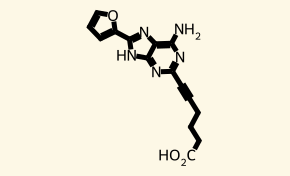 Nc1nc(C#CCCCC(=O)O)nc2[nH]c(-c3ccco3)nc12